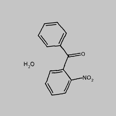 O.O=C(c1ccccc1)c1ccccc1[N+](=O)[O-]